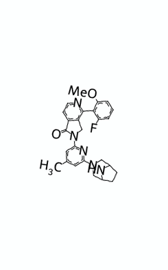 COc1cccc(F)c1-c1nccc2c1CN(c1cc(C)cc(N3CC4CCC(C3)N4)n1)C2=O